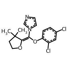 CC1(C)CCOC1=C(Oc1ccc(Cl)cc1Cl)n1ccnc1